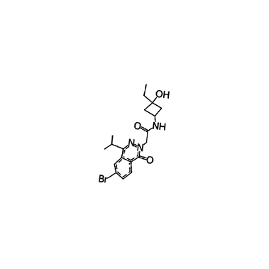 CCC1(O)CC(NC(=O)Cn2nc(C(C)C)c3cc(Br)ccc3c2=O)C1